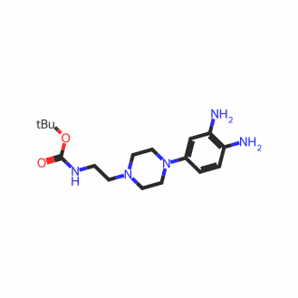 CC(C)(C)OC(=O)NCCN1CCN(c2ccc(N)c(N)c2)CC1